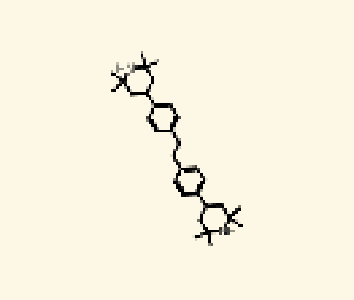 CC1(C)CC(c2ccc(CCc3ccc(C4CC(C)(C)NC(C)(C)C4)cc3)cc2)CC(C)(C)N1